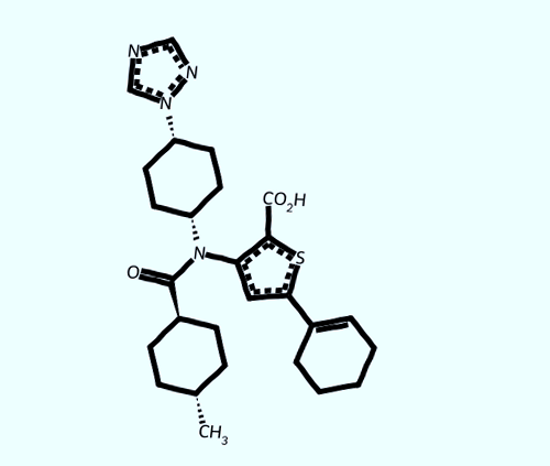 C[C@H]1CC[C@H](C(=O)N(c2cc(C3=CCCCC3)sc2C(=O)O)[C@H]2CC[C@@H](n3cncn3)CC2)CC1